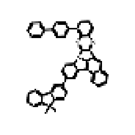 CC1(C)c2ccccc2-c2cc(-c3ccc4c(c3)c3c5ccccc5cc5c6nc7cccc(-c8ccc(-c9ccccc9)cc8)c7nc6n4c53)ccc21